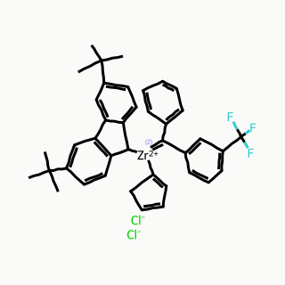 CC(C)(C)c1ccc2c(c1)-c1cc(C(C)(C)C)ccc1[CH]2/[Zr+2]([C]1=CC=CC1)=[C](\c1ccccc1)c1cccc(C(F)(F)F)c1.[Cl-].[Cl-]